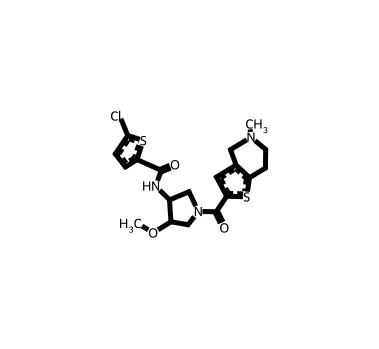 COC1CN(C(=O)c2cc3c(s2)CCN(C)C3)CC1NC(=O)c1ccc(Cl)s1